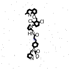 COCC(=O)N(Cc1cccnc1)c1ccc(/C=C/C(=O)NCc2cccn2-c2ccc(Cl)c(COc3cccc4ccc(C)nc34)c2Cl)cc1